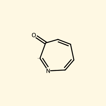 O=c1[c]ncccc1